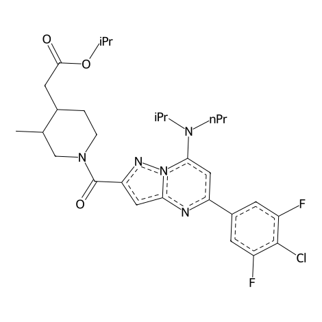 CCCN(c1cc(-c2cc(F)c(Cl)c(F)c2)nc2cc(C(=O)N3CCC(CC(=O)OC(C)C)C(C)C3)nn12)C(C)C